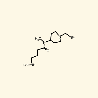 CC(C)CN1CCC(N(C)C(=O)CCCNC(C)C)CC1